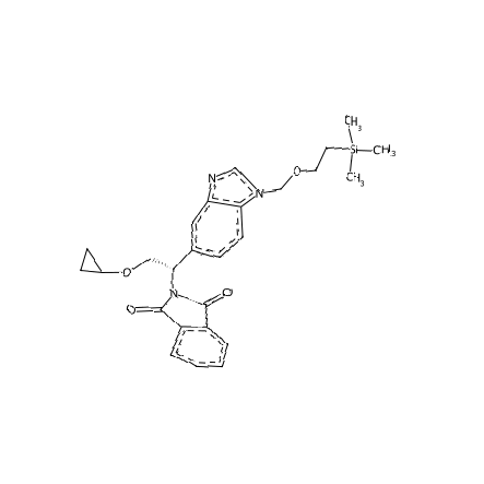 C[Si](C)(C)CCOCn1cnc2cc([C@@H](COC3CC3)N3C(=O)c4ccccc4C3=O)ccc21